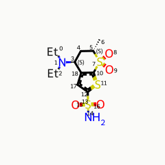 CCN(CC)[C@H]1C[C@H](C)S(=O)(=O)c2sc(S(N)(=O)=O)cc21